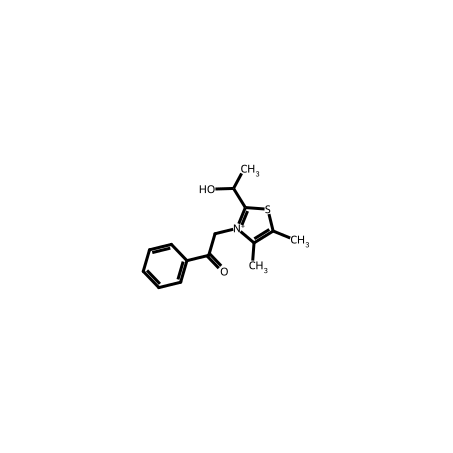 Cc1sc(C(C)O)[n+](CC(=O)c2ccccc2)c1C